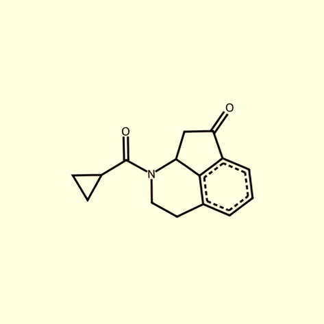 O=C1CC2c3c(cccc31)CCN2C(=O)C1CC1